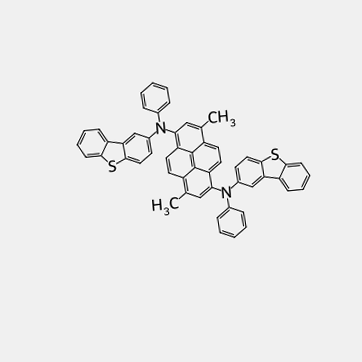 Cc1cc(N(c2ccccc2)c2ccc3sc4ccccc4c3c2)c2ccc3c(C)cc(N(c4ccccc4)c4ccc5sc6ccccc6c5c4)c4ccc1c2c34